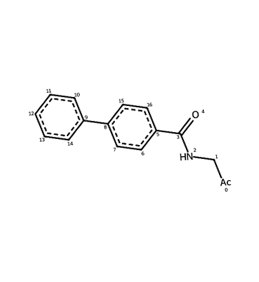 CC(=O)CNC(=O)c1ccc(-c2ccccc2)cc1